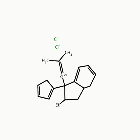 CCC1CC2CC=CC=C2[C]1([Zr+2]=[C](C)C)C1=CC=CC1.[Cl-].[Cl-]